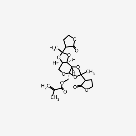 C=C(C)C(=O)OC[C@]12OC[C@H]3OC(C)(C4CCOC4=O)O[C@H]3[C@@H]1OC(C)(C1CCOC1=O)O2